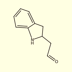 O=CCC1Cc2ccccc2N1